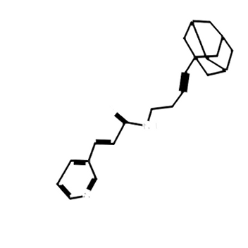 O=C(/C=C/c1cccnc1)NCCC#CC12CC3CC(CC(C3)C1)C2